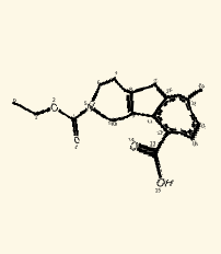 CCOC(=O)N1CCC2=C(C1)c1c(C(=O)O)ccc(C)c1C2